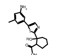 Cc1cc(N)cc(-c2cnc(C3(O)CCCCC3C(=O)O)s2)c1